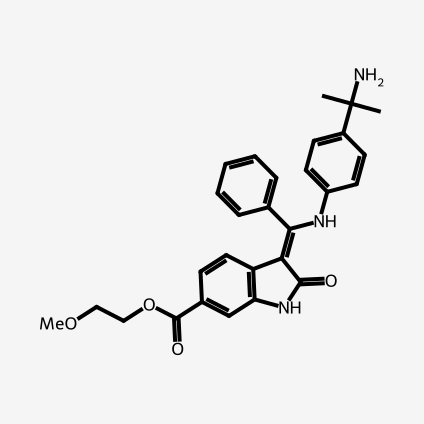 COCCOC(=O)c1ccc2c(c1)NC(=O)/C2=C(\Nc1ccc(C(C)(C)N)cc1)c1ccccc1